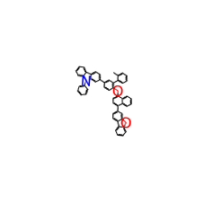 Cc1ccccc1-c1cc(-c2ccc3c4ccccc4n(-c4ccccc4)c3c2)ccc1Oc1ccc(-c2ccc3c(c2)oc2ccccc23)c2ccccc12